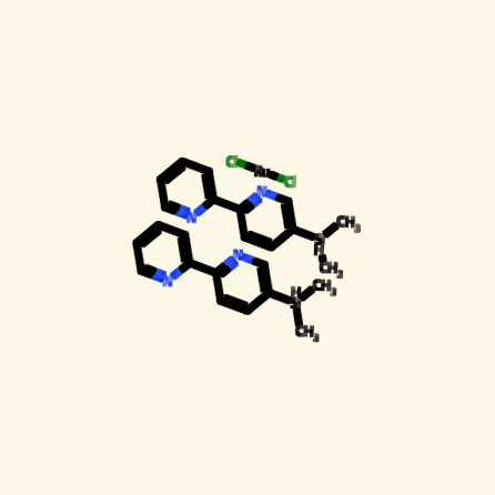 C[SiH](C)c1ccc(-c2ccccn2)nc1.C[SiH](C)c1ccc(-c2ccccn2)nc1.[Cl][Ru][Cl]